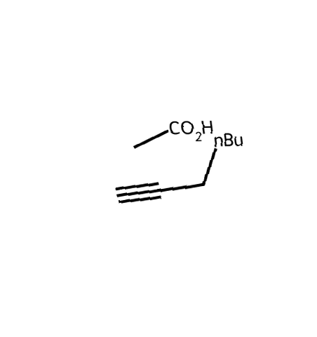 C#CCCCCC.CC(=O)O